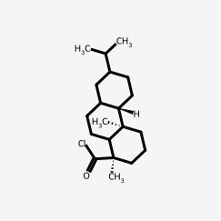 CC(C)C1CC[C@H]2C(CCC3[C@](C)(C(=O)Cl)CCC[C@@]32C)C1